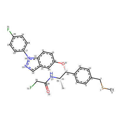 CCSCc1ccc([C@@H](Oc2ccc3c(cnn3-c3ccc(F)cc3)c2)[C@H](C)NC(=O)CF)cc1